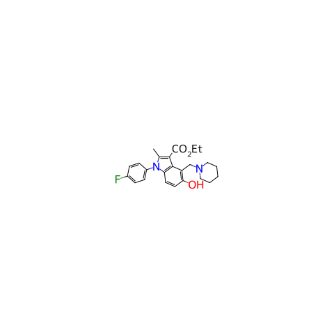 CCOC(=O)c1c(C)n(-c2ccc(F)cc2)c2ccc(O)c(CN3CCCCC3)c12